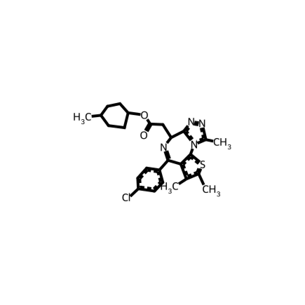 Cc1sc2c(c1C)C(c1ccc(Cl)cc1)=NC(CC(=O)OC1CCC(C)CC1)c1nnc(C)n1-2